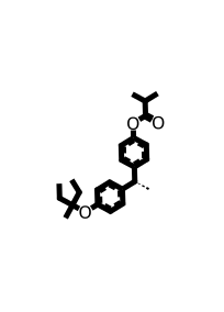 CCC(C)(CC)Oc1ccc([C@@H](C)c2ccc(OC(=O)C(C)C)cc2)cc1